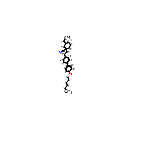 CCCCCCOc1ccc(-c2ccc(CCC3(C#N)CCCC(CC)C3)cc2)cc1